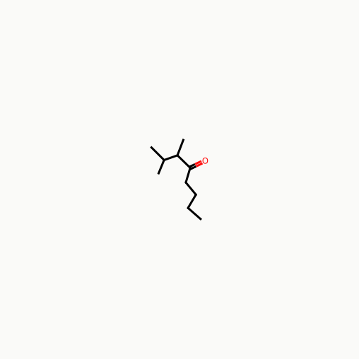 CCCCC(=O)C(C)C(C)C